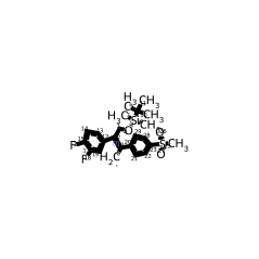 [CH2]/C(=C(/CO[Si](C)(C)C(C)(C)C)c1ccc(F)c(F)c1)c1ccc(S(C)(=O)=O)cc1